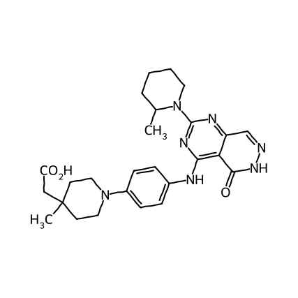 CC1CCCCN1c1nc(Nc2ccc(N3CCC(C)(CC(=O)O)CC3)cc2)c2c(=O)[nH]ncc2n1